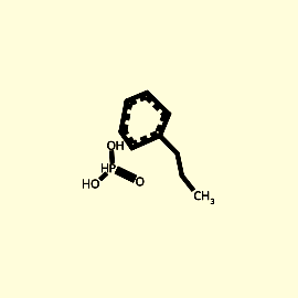 CCCc1ccccc1.O=[PH](O)O